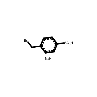 O=S(=O)(O)c1ccc(CBr)cc1.[NaH]